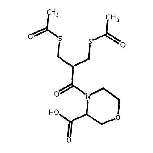 CC(=O)SCC(CSC(C)=O)C(=O)N1CCOCC1C(=O)O